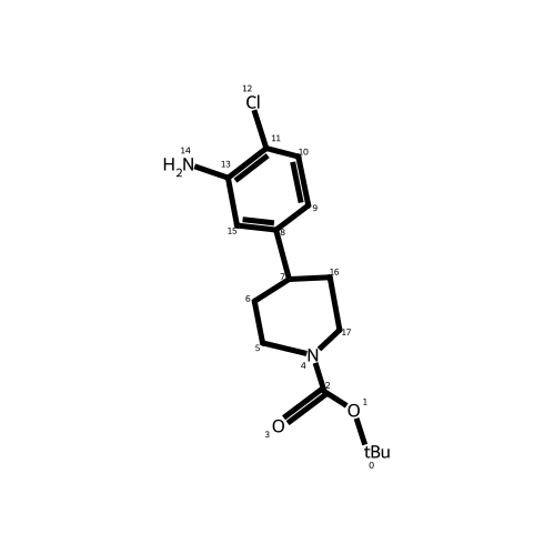 CC(C)(C)OC(=O)N1CCC(c2ccc(Cl)c(N)c2)CC1